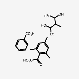 CCCC(O)C(C)C(O)CC.Cc1cc(C)c(C(=O)C(=O)O)c(C)c1.O=C(O)c1ccccc1